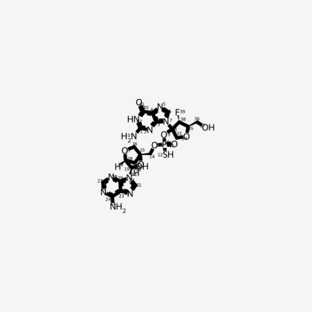 Nc1nc2c(ncn2C2(OP(=O)(S)OC[C@@]34CO[C@@H]([C@H](n5cnc6c(N)ncnc65)O3)[C@@H]4O)CO[C@H](CO)[C@H]2F)c(=O)[nH]1